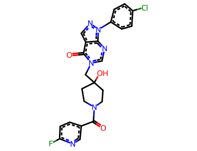 O=C(c1ccc(F)nc1)N1CCC(O)(Cn2cnc3c(cnn3-c3ccc(Cl)cc3)c2=O)CC1